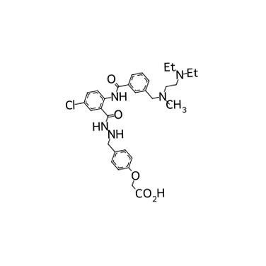 CCN(CC)CCN(C)Cc1cccc(C(=O)Nc2ccc(Cl)cc2C(=O)NNCc2ccc(OCC(=O)O)cc2)c1